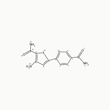 NC(=O)c1ccc(-c2cc(N)c(C(N)=O)s2)cc1